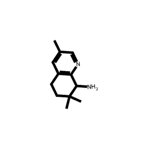 Cc1cnc2c(c1)CCC(C)(C)C2N